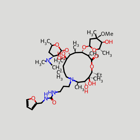 CC[C@H]1OC(=O)[C@H](C)[C@@H](O[C@H]2C[C@@](C)(OC)[C@@H](O)[C@H](C)O2)[C@H](C)[C@@H](O[C@@H]2O[C@H](C)C[C@H](N(C)C)[C@H]2O)[C@](C)(O)C[C@@H](C)CN(CCCNC(=O)NCc2ccco2)[C@H](C)[C@@H](O)[C@]1(C)O